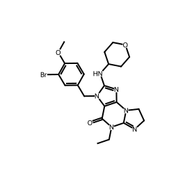 CCN1C(=O)c2c(nc(NC3CCOCC3)n2Cc2ccc(OC)c(Br)c2)N2CCN=C12